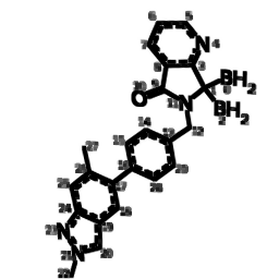 BC1(B)c2ncccc2C(=O)N1Cc1ccc(-c2cc3cn(C)nc3cc2C)cc1